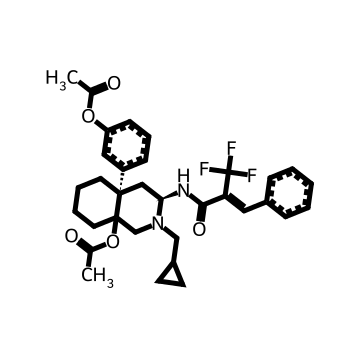 CC(=O)Oc1cccc([C@@]23CCCCC2(OC(C)=O)CN(CC2CC2)[C@H](NC(=O)C(=Cc2ccccc2)C(F)(F)F)C3)c1